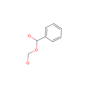 [O]COC([O])c1ccccc1